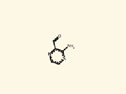 Nc1nccnc1[C]=O